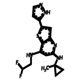 CC1(Nc2cc(NCC(F)F)c3sc(-c4ccn[nH]4)cc3n2)CC1